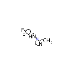 C=CC1=NC=CC/C1=C\NCc1ccc(F)c(F)c1